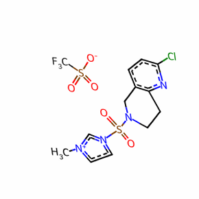 C[n+]1ccn(S(=O)(=O)N2CCc3nc(Cl)ccc3C2)c1.O=S(=O)([O-])C(F)(F)F